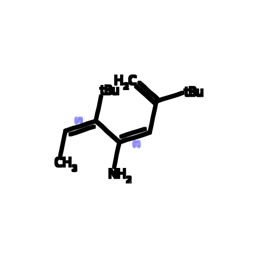 C=C(/C=C(N)\C(=C/C)C(C)(C)C)C(C)(C)C